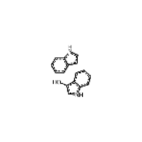 Oc1c[nH]c2ccccc12.c1ccc2[nH]ccc2c1